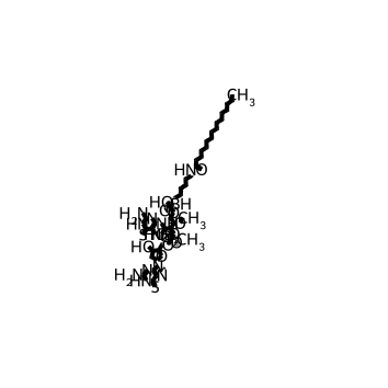 CCCCCCCCCCCCCCCC(=O)NCCCCCCBP(=O)(O)OCC(OC)C(OP(=O)(OC)OCC1OC(n2cnc3c(=S)[nH]c(N)nc32)CC1O)C(O)Nc1nc(N)[nH]c(=S)c1N